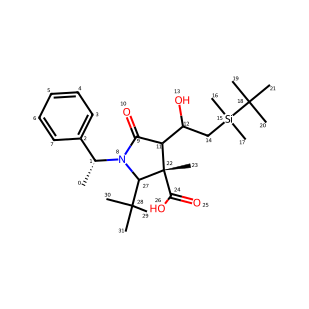 C[C@H](c1ccccc1)N1C(=O)C(C(O)C[Si](C)(C)C(C)(C)C)[C@](C)(C(=O)O)C1C(C)(C)C